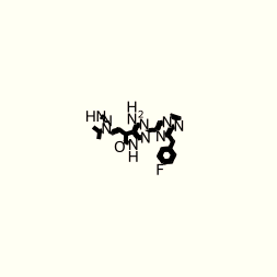 CC(C)N(/C=C/C1C(=O)Nc2nc(-c3cn4ccnc4c(Cc4ccc(F)cc4)n3)nc(N)c21)N=N